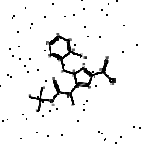 CN(C(=O)OC(C)(C)C)c1cc(C(=O)O)nn1Cc1ccccc1F